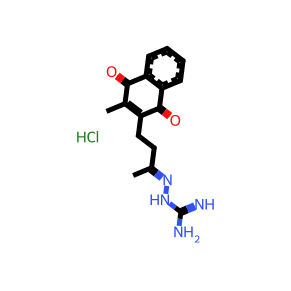 CC1=C(CC/C(C)=N/NC(=N)N)C(=O)c2ccccc2C1=O.Cl